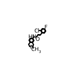 CN1CCc2ccc(NC(=O)/C=C/c3ccc(F)cc3Cl)cc2C1